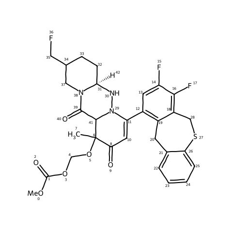 COC(=O)OCOC1(C)C(=O)C=C(c2cc(F)c(F)c3c2Cc2ccccc2SC3)N2N[C@@H]3CCC(CF)CN3C(=O)C21